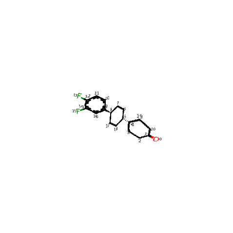 O=C1CCC([C@H]2CC[C@H](c3ccc(F)c(F)c3)CC2)CC1